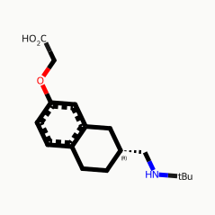 CC(C)(C)NC[C@@H]1CCc2ccc(OCC(=O)O)cc2C1